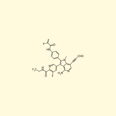 C=C(F)C(=O)Nc1ccc(-c2c(-c3cnc(C(=O)NCC(F)(F)F)c(F)c3)c3c(N)ncc(C#CC=O)c3n2C)cc1